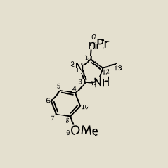 CCCc1nc(-c2cccc(OC)c2)[nH]c1C